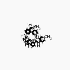 CN1CCC(NC(=O)[C@H]2CCC[C@H]2Nc2nc(Nc3ccc(C(=O)N(C)C4CCN(C)CC4)cc3)ncc2C(F)(F)F)CC1